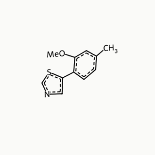 COc1cc(C)ccc1-c1cncs1